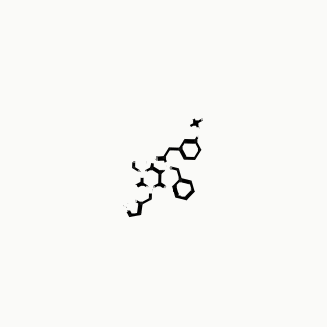 C=C1c2c(nc(CC3=CCCC(OC(F)(F)F)=C3)n2Cc2ccccc2)N(CC)C(=C)N1Cc1ccno1